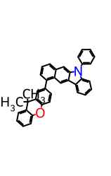 CC1(C)c2ccccc2Oc2ccc(-c3cccc4cc5c(cc34)c3ccccc3n5-c3ccccc3)cc21